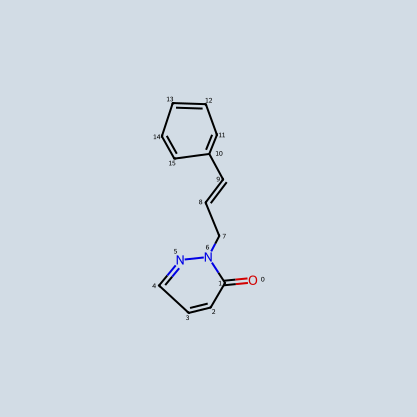 O=c1cccnn1CC=Cc1ccccc1